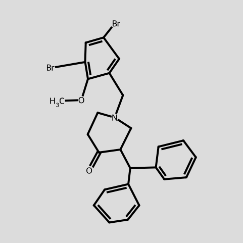 COc1c(Br)cc(Br)cc1CN1CCC(=O)C(C(c2ccccc2)c2ccccc2)C1